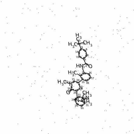 Cc1c(NC(=O)c2ccc(C(C)(C)C)cc2)cccc1-c1cn(C)c(=O)c(N2c3ccc(cc3)C2(C)N)n1